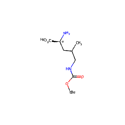 CC(CNC(=O)OC(C)(C)C)C[C@H](N)C(=O)O